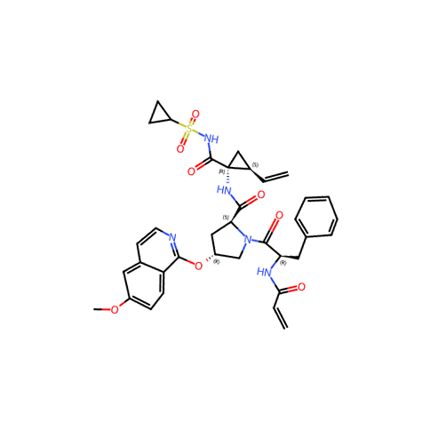 C=CC(=O)N[C@H](Cc1ccccc1)C(=O)N1C[C@H](Oc2nccc3cc(OC)ccc23)C[C@H]1C(=O)N[C@]1(C(=O)NS(=O)(=O)C2CC2)C[C@H]1C=C